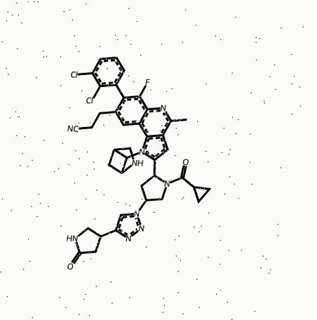 Cc1nc2c(F)c(-c3cccc(Cl)c3Cl)c(CCC#N)cc2c2c1cc(C1CC(n3cc(C4CNC(=O)C4)nn3)CN1C(=O)C1CC1)n2C1C2CNC1C2